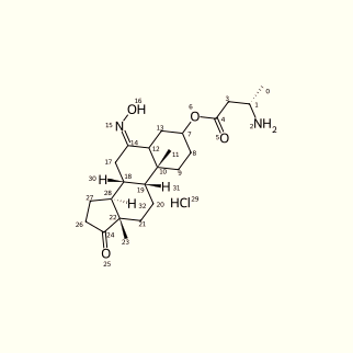 C[C@H](N)CC(=O)OC1CC[C@@]2(C)C(C1)/C(=N\O)C[C@@H]1[C@H]2CC[C@]2(C)C(=O)CC[C@@H]12.Cl